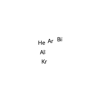 [Al].[Ar].[Bi].[He].[Kr]